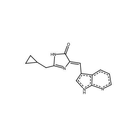 O=C1NC(CC2CC2)=NC1=Cc1c[nH]c2ncccc12